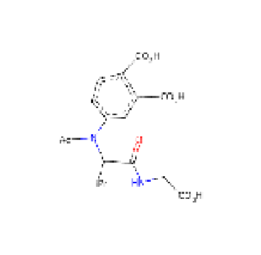 CC(=O)N(c1ccc(C(=O)O)c(C(=O)O)c1)C(C(=O)NCC(=O)O)C(C)C